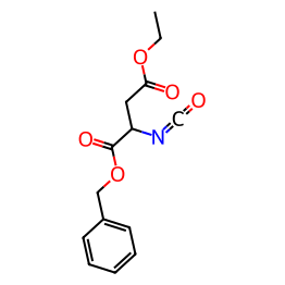 CCOC(=O)CC(N=C=O)C(=O)OCc1ccccc1